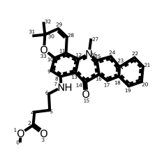 COC(=O)CCCNc1cc2c(c3c1c(=O)c1cc4ccccc4cc1n3C)C=CC(C)(C)O2